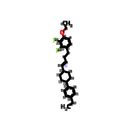 CCOc1ccc(CC/C=C/C2CCC(c3ccc(CC)cc3)CC2)c(F)c1F